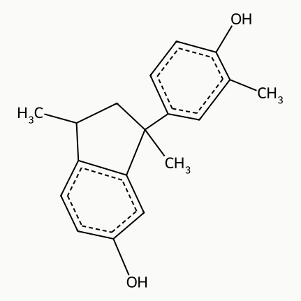 Cc1cc(C2(C)CC(C)c3ccc(O)cc32)ccc1O